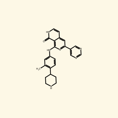 Cc1cc(Nc2nc(-c3cncnc3)cc3cc[nH]c(=O)c23)ccc1C1CCNCC1